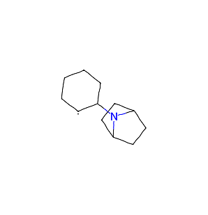 [CH]1CCCCC1N1C2CCC1CC2